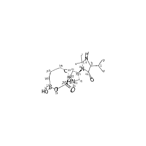 CC(C)C1NC(C)(C)N([C@H]2CN[C@]3(CCCCB(O)OC3=O)C2)C1=O